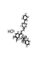 CN(C[C@H](CCN1CCC(c2ccccc2)CC1)c1ccc(F)c(F)c1)S(=O)(=O)c1ccccc1.Cl